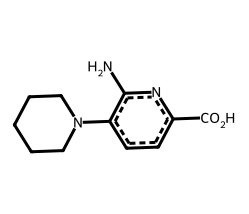 Nc1nc(C(=O)O)ccc1N1CCCCC1